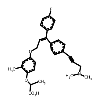 Cc1cc(OCC=C(c2ccc(F)cc2)c2ccc(C#CCN(C)C)cc2)ccc1OC(C)C(=O)O